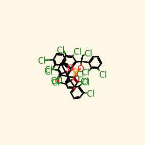 ClCC(OP(OC(CCl)(c1cccc(Cl)c1Cl)c1cccc(Cl)c1Cl)OC(CCl)(c1cccc(Cl)c1Cl)c1cccc(Cl)c1Cl)(c1cccc(Cl)c1Cl)c1cccc(Cl)c1Cl